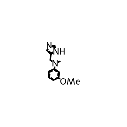 COc1cccc(N(C)Cc2cnc[nH]2)c1